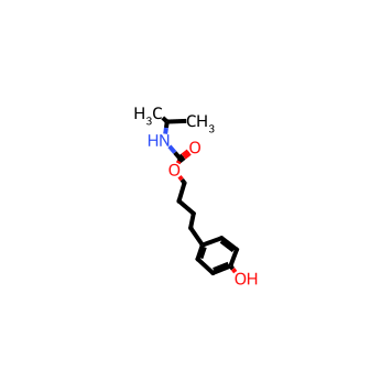 CC(C)NC(=O)OCCCCc1ccc(O)cc1